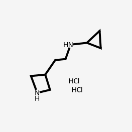 C(CC1CNC1)NC1CC1.Cl.Cl